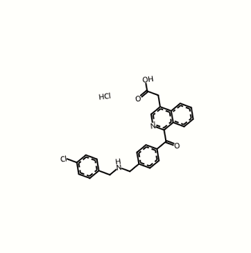 Cl.O=C(O)Cc1cnc(C(=O)c2ccc(CNCc3ccc(Cl)cc3)cc2)c2ccccc12